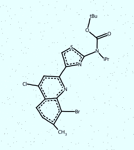 Cc1ccc2c(Cl)cc(-c3csc(N(C(=O)OC(C)(C)C)C(C)C)n3)nc2c1Br